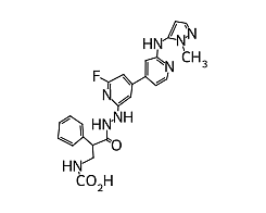 Cn1nccc1Nc1cc(-c2cc(F)nc(NNC(=O)C(CNC(=O)O)c3ccccc3)c2)ccn1